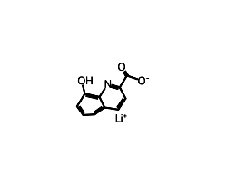 O=C([O-])c1ccc2cccc(O)c2n1.[Li+]